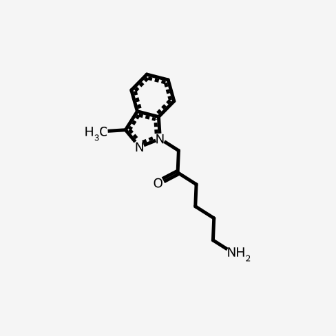 Cc1nn(CC(=O)CCCCN)c2ccccc12